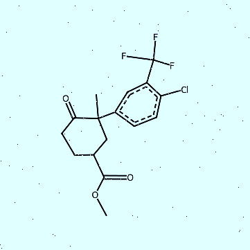 COC(=O)C1CCC(=O)C(C)(c2ccc(Cl)c(C(F)(F)F)c2)C1